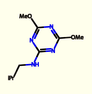 COc1nc(NCC(C)C)nc(OC)n1